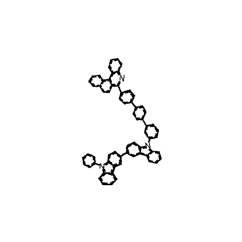 c1ccc(-n2c3ccccc3c3cc(-c4ccc5c(c4)c4ccccc4n5-c4cccc(-c5ccc(-c6ccc(-c7nc8ccccc8c8c7ccc7ccccc78)cc6)cc5)c4)ccc32)cc1